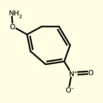 NOC1=CC=C([N+](=O)[O-])C=CC1